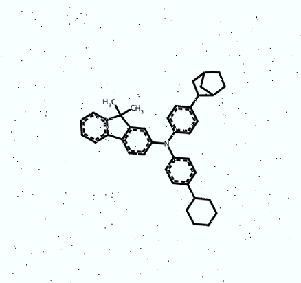 CC1(C)c2ccccc2-c2ccc(N(c3ccc(C4CCCCC4)cc3)c3ccc(C4CC5CCC4C5)cc3)cc21